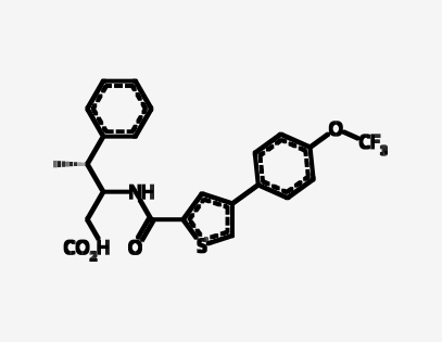 C[C@H](c1ccccc1)C(CC(=O)O)NC(=O)c1cc(-c2ccc(OC(F)(F)F)cc2)cs1